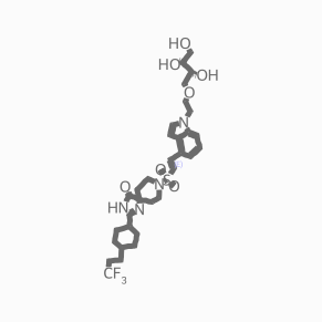 O=C1NC(C2CCC(CCC(F)(F)F)CC2)=NC12CCN(S(=O)(=O)/C=C/c1cccc3c1ccn3CCOC[C@H](O)[C@@H](O)CO)CC2